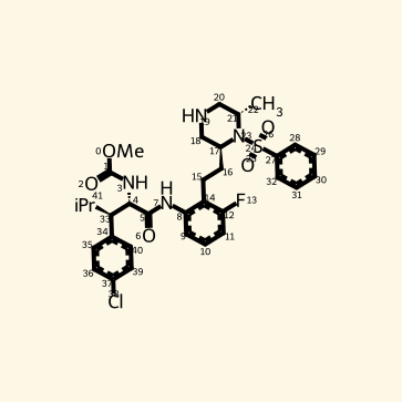 COC(=O)N[C@H](C(=O)Nc1cccc(F)c1CC[C@H]1CNC[C@H](C)N1S(=O)(=O)c1ccccc1)[C@@H](c1ccc(Cl)cc1)C(C)C